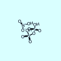 O=S(=O)(O)OS(=O)(=O)O.O=[N+]([O-])O